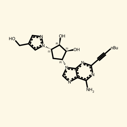 CCCCC#Cc1nc(N)c2ncn([C@@H]3C[C@H](n4cc(CO)cn4)[C@@H](O)[C@H]3O)c2n1